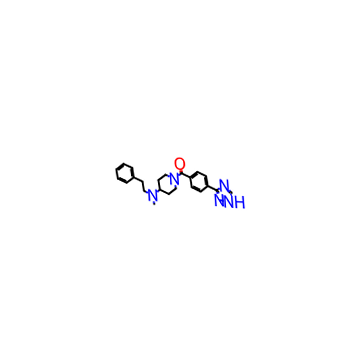 CN(CCc1ccccc1)C1CCN(C(=O)c2ccc(-c3nc[nH]n3)cc2)CC1